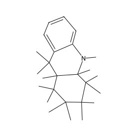 CN1c2ccccc2C(C)(C)C2(C)C(C)(C)C(C)(C)C(C)(C)C(C)(C)C12C